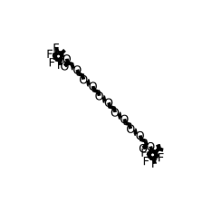 C=C(C)c1c(F)c(F)c(F)c(F)c1OC(=O)CCOCCOCCOCCOCCOCCOCCOCCOCCOCCC(=O)Oc1c(C)c(F)c(F)c(F)c1F